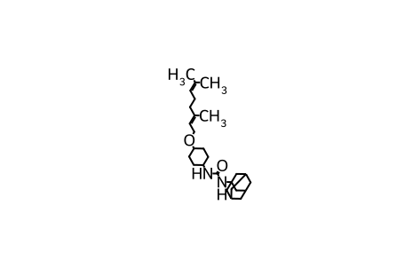 CC(C)=CCC/C(C)=C/COC1CCC(NC(=O)NC23CC4CC(CC(C4)C2)C3)CC1